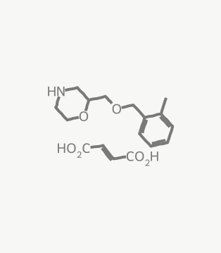 Cc1ccccc1COCC1CNCCO1.O=C(O)C=CC(=O)O